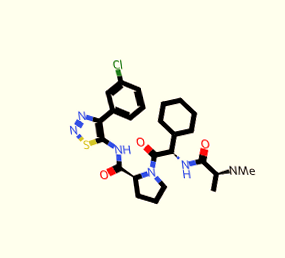 CN[C@@H](C)C(=O)N[C@H](C(=O)N1CCC[C@H]1C(=O)Nc1snnc1-c1cccc(Cl)c1)C1CCCCC1